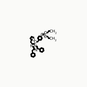 C=CCOP(OCC=C)Oc1ccc(COc2c(Cc3ccco3)nc3c(Cc4ccccc4)nc(-c4ccccc4)cn23)cc1